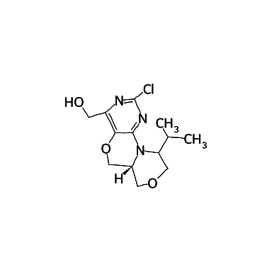 CC(C)C1COC[C@@H]2COc3c(CO)nc(Cl)nc3N12